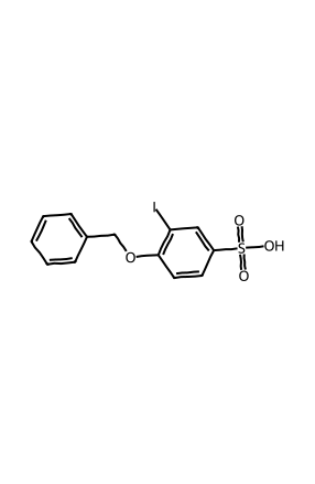 O=S(=O)(O)c1ccc(OCc2ccccc2)c(I)c1